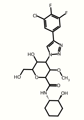 COC1C(C(=O)N[C@H]2CCCC[C@@H]2O)OC(CO)C(O)C1n1cc(-c2cc(F)c(F)c(Cl)c2)nn1